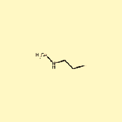 [CH2]CC[NH][GeH3]